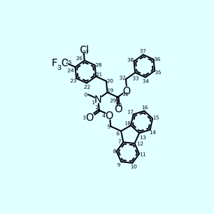 CN(C(=O)OCC1c2ccccc2-c2ccccc21)C(Cc1ccc(C(F)(F)F)c(Cl)c1)C(=O)OCc1ccccc1